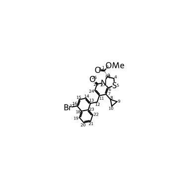 COC(=O)[C@@H]1CSc2c(C3CC3)c(Cc3ccc(Br)c4ccccc34)cc(=O)n21